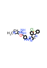 CN(C)CC1CN(C(=N)NC(=O)c2ccc(Nc3ncc4c(n3)-c3ccc(Cl)cc3C(c3ccccc3F)=NC4)cc2)C1